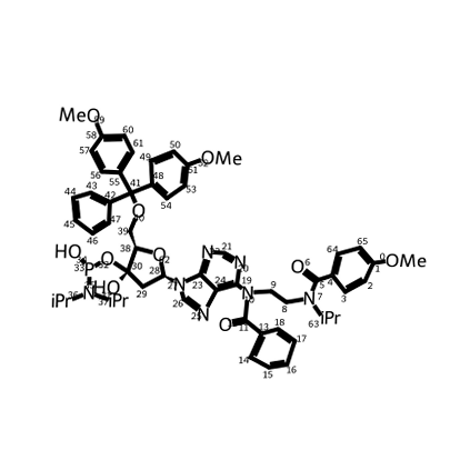 COc1ccc(C(=O)N(CCN(C(=O)c2ccccc2)c2ncnc3c2ncn3[C@H]2C[C@](O)(OP(O)N(C(C)C)C(C)C)[C@@H](COC(c3ccccc3)(c3ccc(OC)cc3)c3ccc(OC)cc3)O2)C(C)C)cc1